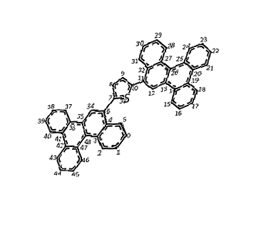 c1ccc2c(c1)c(-c1ccc(-c3cc4c5ccccc5c5ccccc5c4c4ccccc34)s1)cc1c3ccccc3c3ccccc3c21